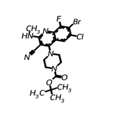 CNc1nc2c(F)c(Br)c(Cl)cc2c(N2CCN(C(=O)OC(C)(C)C)CC2)c1C#N